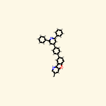 Cc1cnc2c(c1)oc1ccc(-c3ccc(-c4cc(-c5ccccc5)nc(-c5ccccc5)c4)cc3)cc12